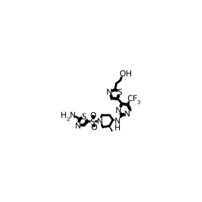 C[C@H]1CN(S(=O)(=O)c2cnc(N)s2)CC[C@@H]1Nc1ncc(C(F)(F)F)c(-c2cnc(CCO)s2)n1